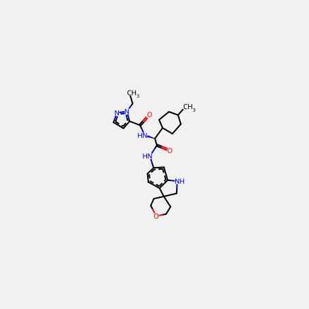 CCn1nccc1C(=O)N[C@H](C(=O)Nc1ccc2c(c1)NCC21CCOCC1)C1CCC(C)CC1